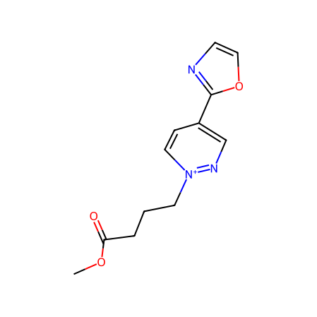 COC(=O)CCC[n+]1ccc(-c2ncco2)cn1